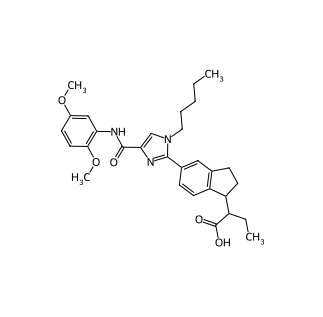 CCCCCn1cc(C(=O)Nc2cc(OC)ccc2OC)nc1-c1ccc2c(c1)CCC2C(CC)C(=O)O